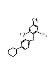 Cc1cc(C)c(Sc2ccc(C3CCCCC3)cc2)c(C)c1